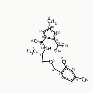 C[C@@H](COCc1ccc(Cl)cc1Cl)NC(=O)c1cn(C)nc1C(F)F